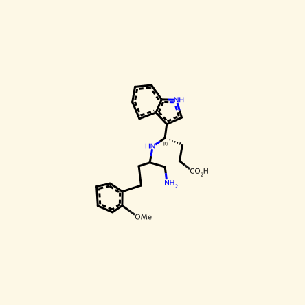 COc1ccccc1CCC(CN)N[C@@H](CCC(=O)O)c1c[nH]c2ccccc12